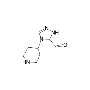 O=CC1NN=CN1C1CCNCC1